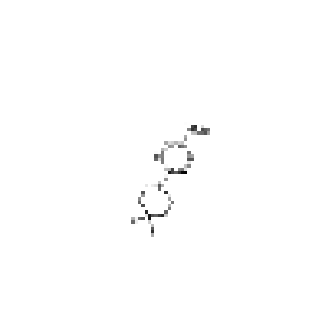 CNc1ccc(N2CCC(F)(F)CC2)nc1